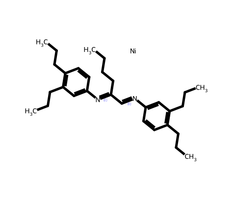 CCCCC(/C=N/c1ccc(CCC)c(CCC)c1)=N\c1ccc(CCC)c(CCC)c1.[Ni]